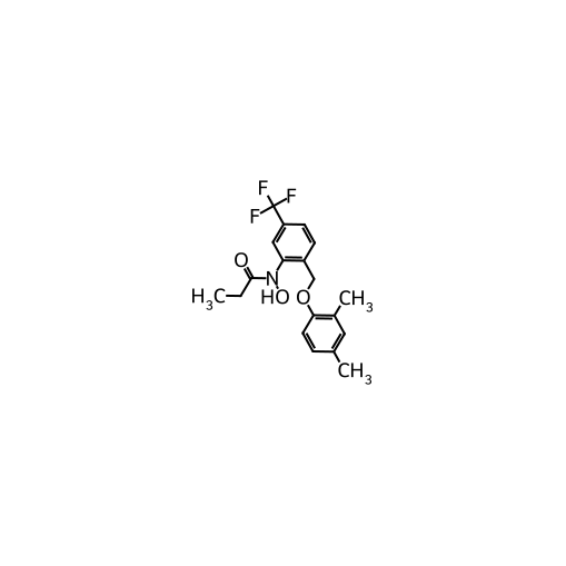 CCC(=O)N(O)c1cc(C(F)(F)F)ccc1COc1ccc(C)cc1C